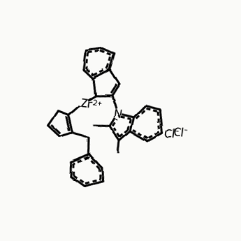 Cc1c(C)n(C2=Cc3ccccc3[CH]2[Zr+2][C]2=C(Cc3ccccc3)C=CC2)c2ccccc12.[Cl-].[Cl-]